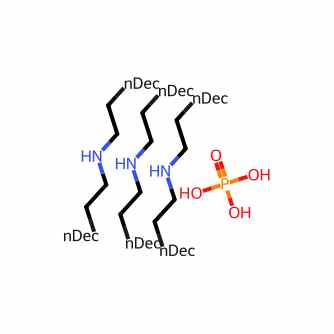 CCCCCCCCCCCCNCCCCCCCCCCCC.CCCCCCCCCCCCNCCCCCCCCCCCC.CCCCCCCCCCCCNCCCCCCCCCCCC.O=P(O)(O)O